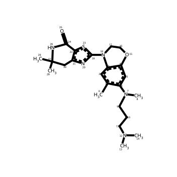 Cc1cc2c(cc1N(C)CCCN(C)C)OCCN2c1nc2c(s1)C(=O)NC(C)(C)C2